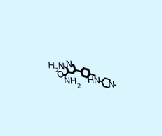 CN1CCC(NCc2ccc(-c3cnc(N)c(C(N)=O)c3)cc2)CC1